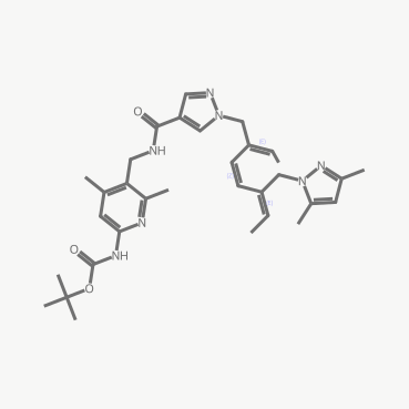 C\C=C(/C=C\C(=C/C)Cn1nc(C)cc1C)Cn1cc(C(=O)NCc2c(C)cc(NC(=O)OC(C)(C)C)nc2C)cn1